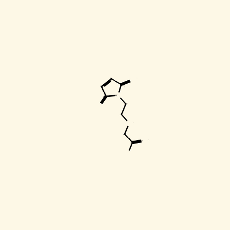 O=C(O)CSCCN1C(=O)C=CC1=O